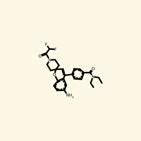 CCN(CC)C(=O)c1ccc(C2=CC3(CCN(C(=O)C(F)F)CC3)Oc3ccc(N)cc32)cc1